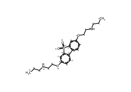 CCCNCCOc1ccc2c(c1)S(=O)(=O)c1cc(OCCNCCC)ccc1-2